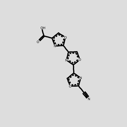 N#Cc1nc(-c2nc(-c3nc(C(=O)O)co3)co2)co1